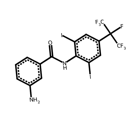 Nc1cccc(C(=O)Nc2c(I)cc(C(F)(C(F)(F)F)C(F)(F)F)cc2I)c1